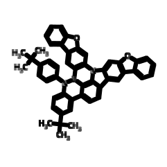 CC(C)(C)c1ccc(N2B3c4cc5c(cc4-n4c6cc7oc8ccccc8c7cc6c6ccc(c3c64)-c3cc(C(C)(C)C)ccc32)oc2ccccc25)cc1